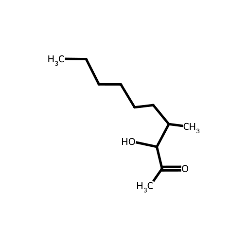 CCCCCCC(C)C(O)C(C)=O